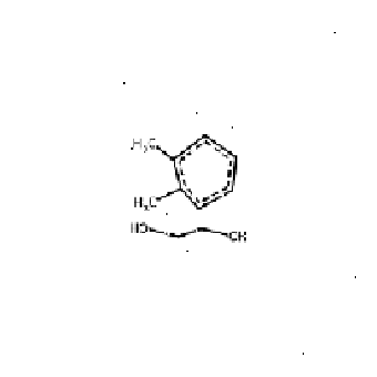 Cc1ccccc1C.OCCO